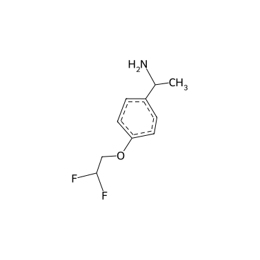 CC(N)c1ccc(OCC(F)F)cc1